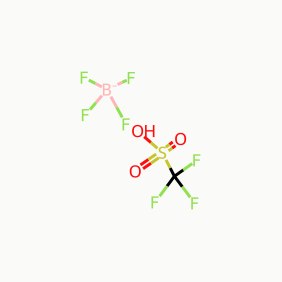 F[B-](F)(F)F.O=S(=O)(O)C(F)(F)F